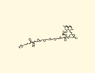 CCC(C)C(=O)OC1CC(C)C=C2C=CC(C)C(CCC3CC(OC(=O)NCCOCCOCCOCCOCCOCCNC(=O)CCCCC4CCSS4)CC(=O)O3)C21